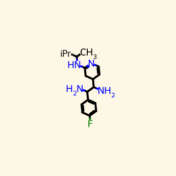 CC(C)C(C)NC1=NC=CC(C(N)C(N)c2ccc(F)cc2)C1